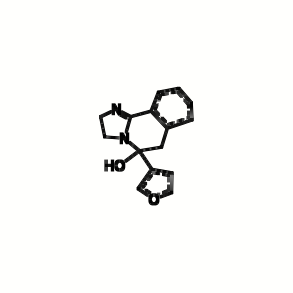 OC1(c2ccoc2)Cc2ccccc2C2=NCCN21